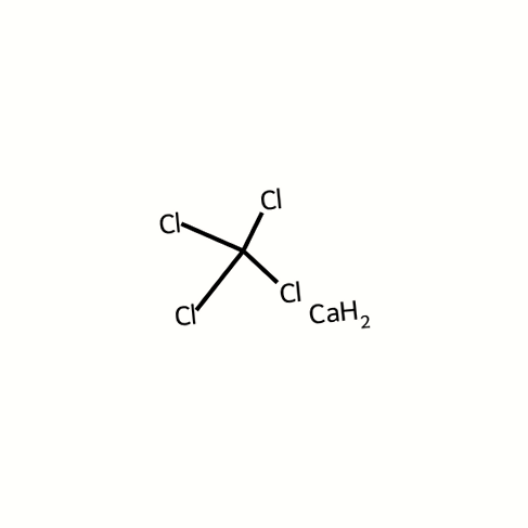 ClC(Cl)(Cl)Cl.[CaH2]